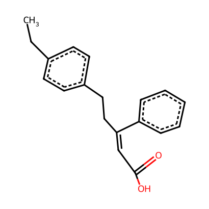 CCc1ccc(CCC(=CC(=O)O)c2ccccc2)cc1